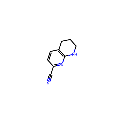 N#Cc1ccc2c(n1)NCCC2